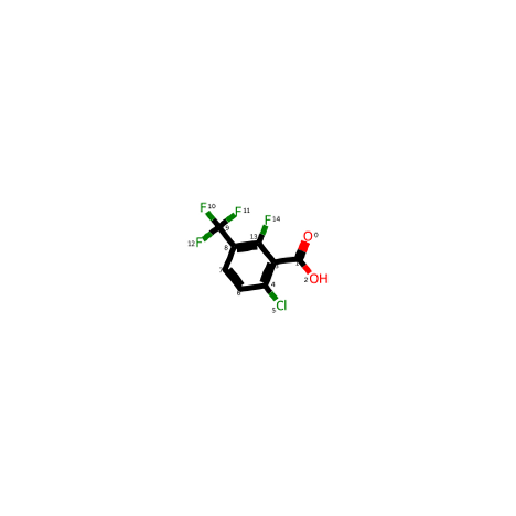 O=C(O)c1c(Cl)ccc(C(F)(F)F)c1F